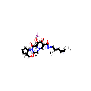 C/C=C\C=C(/C)CNC(=O)c1cn2c(c(OP)c1=O)C(=O)N1[C@@H](C2)OC[C@@H]2CCC[C@@H]21